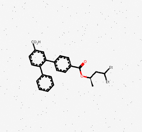 CCC(CC)C[C@@H](C)OC(=O)c1ccc(-c2cc(C(=O)O)ccc2-c2ccccc2)cc1